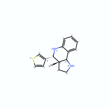 c1ccc2c(c1)N[C@@H](c1ccsc1)[C@H]1CCNC21